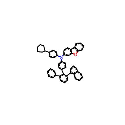 c1ccc(-c2cccc(-c3cccc4ccccc34)c2-c2ccc(N(c3ccc(C4CCCCC4)cc3)c3ccc4c(c3)oc3ccccc34)cc2)cc1